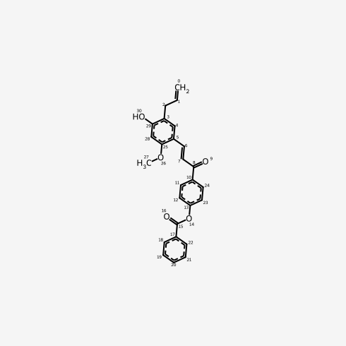 C=CCc1cc(/C=C/C(=O)c2ccc(OC(=O)c3ccccc3)cc2)c(OC)cc1O